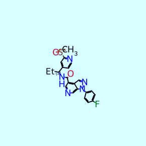 CC[C@H](NC(=O)c1cncc2c1cnn2-c1ccc(F)cc1)c1ccnc([S+](C)[O-])c1